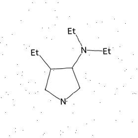 CCC1C[N]CC1N(CC)CC